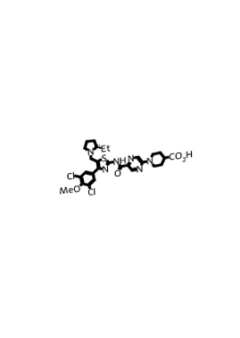 CC[C@@H]1CCCN1Cc1sc(NC(=O)c2cnc(N3CCC(C(=O)O)CC3)cn2)nc1-c1cc(Cl)c(OC)c(Cl)c1